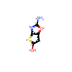 Nc1nc2sc(O)cc2o1